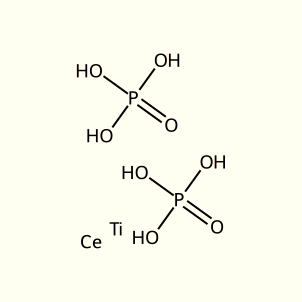 O=P(O)(O)O.O=P(O)(O)O.[Ce].[Ti]